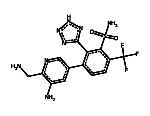 NCc1ncc(-c2ccc(C(F)(F)F)c(S(N)(=O)=O)c2-c2nn[nH]n2)cc1N